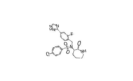 O=C1NCCCCC1N(Cc1ccc(-c2ncn[nH]2)cc1F)S(=O)(=O)c1ccc(Cl)cc1